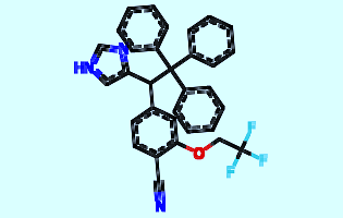 N#Cc1ccc(C(c2c[nH]cn2)C(c2ccccc2)(c2ccccc2)c2ccccc2)cc1OCC(F)(F)F